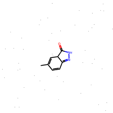 CC1=CC2C(=O)NN=C2C=C1